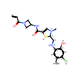 C=CC(=O)N1CC(NC(=O)C2=CN(C)C(CNc3cc(C(C)(C)C)c(Cl)cc3O)S2)C1